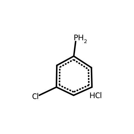 Cl.Pc1cccc(Cl)c1